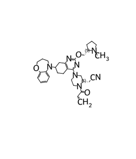 C=CC(=O)N1CCN(c2nc(OC[C@@H]3CCCN3C)nc3c2CCC(N2CCCOc4ccccc42)C3)C[C@@H]1CC#N